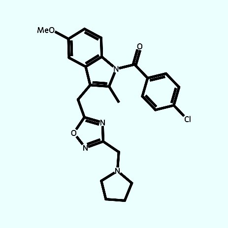 COc1ccc2c(c1)c(Cc1nc(CN3CCCC3)no1)c(C)n2C(=O)c1ccc(Cl)cc1